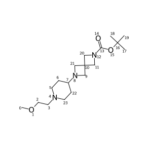 COCCN1CCC(N2CC3(CN(C(=O)OC(C)(C)C)C3)C2)CC1